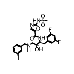 CS(=O)(=O)Nc1ncc(C(=O)N[C@@H](Cc2cc(F)cc(F)c2)[C@@H](O)CNCc2cccc(I)c2)o1